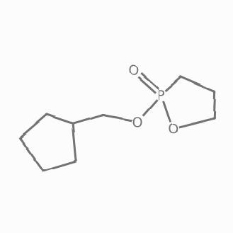 O=P1(OCC2CCCC2)CCCO1